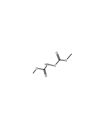 COC(=O)NOC(=O)OC